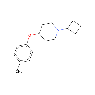 Cc1ccc(OC2CCN(C3CCC3)CC2)cc1